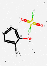 O=S(=O)(Cl)Cl.O=[N+]([O-])c1ccccc1O